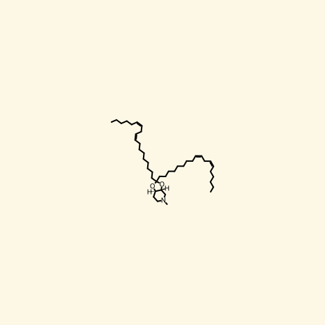 CCCCC/C=C\C/C=C\CCCCCCCCC1(CCCCCCCC/C=C\C/C=C\CCCCC)O[C@@H]2CCN(C)C[C@H]2O1